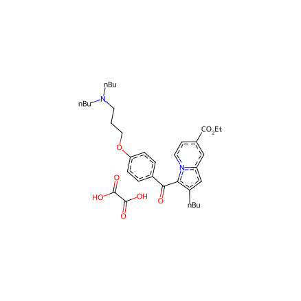 CCCCc1cc2cc(C(=O)OCC)ccn2c1C(=O)c1ccc(OCCCN(CCCC)CCCC)cc1.O=C(O)C(=O)O